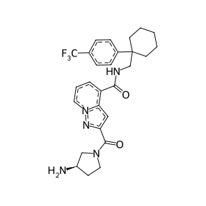 N[C@@H]1CCN(C(=O)c2cc3c(C(=O)NCC4(c5ccc(C(F)(F)F)cc5)CCCCC4)cccn3n2)C1